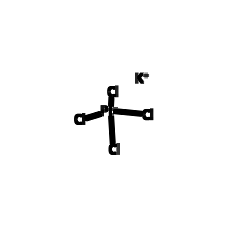 [Cl][Pt-]([Cl])([Cl])[Cl].[K+]